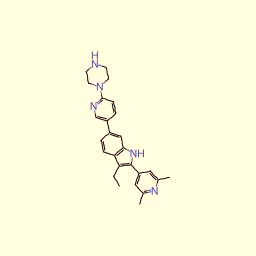 CCc1c(-c2cc(C)nc(C)c2)[nH]c2cc(-c3ccc(N4CCNCC4)nc3)ccc12